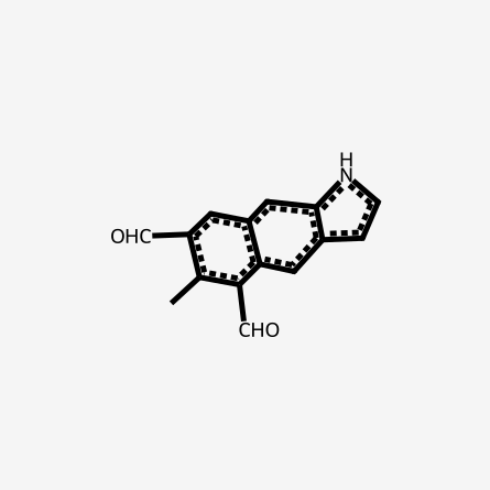 Cc1c(C=O)cc2cc3[nH]ccc3cc2c1C=O